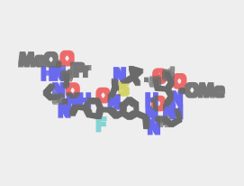 COC(=O)NC(C(=O)N1CCC[C@H]1c1ncc(-c2ccc3c(c2)cc2n3C(c3cnc(C4(C)CC4)s3)Oc3cc(-c4cnc([C@@H]5CCCN5C(=O)[C@@H](NC(=O)OC)C(C)C)[nH]4)cc(F)c3-2)[nH]1)C1C[C@@H](C)O[C@@H](C)C1